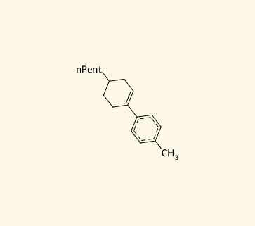 CCCCCC1CC=C(c2ccc(C)cc2)CC1